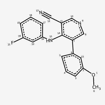 COc1cccc(-c2cncc(C#N)c2Nc2cccc(F)c2)c1